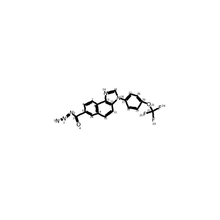 [N-]=[N+]=NC(=O)c1ccc2c(ccc3c2ncn3-c2ccc(OC(F)(F)F)cc2)c1